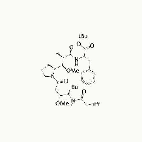 CC[C@H](C)[C@@H]([C@@H](CC(=O)N1CCC[C@H]1[C@H](OC)[C@@H](C)C(=O)N[C@@H](Cc1ccccc1)C(=O)OC(C)(C)C)OC)N(C)C(=O)CC(C)C